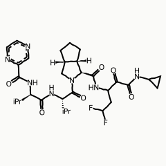 CC(C)[C@H](NC(=O)[C@H](NC(=O)c1cnccn1)C(C)C)C(=O)N1C[C@@H]2CCC[C@@H]2[C@H]1C(=O)NC(CC(F)F)C(=O)C(=O)NC1CC1